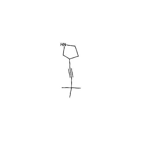 CC(C)(C)C#CC1CCNC1